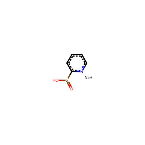 O=S(O)c1ccccn1.[NaH]